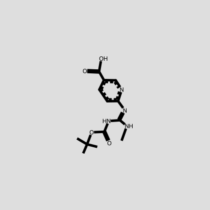 CNC(=Nc1ccc(C(=O)O)cn1)NC(=O)OC(C)(C)C